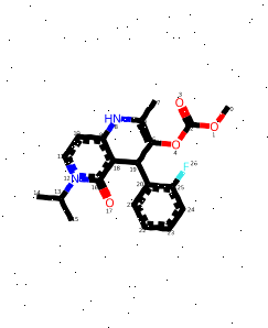 COC(=O)OC1=C(C)Nc2ccn(C(C)C)c(=O)c2C1c1ccccc1F